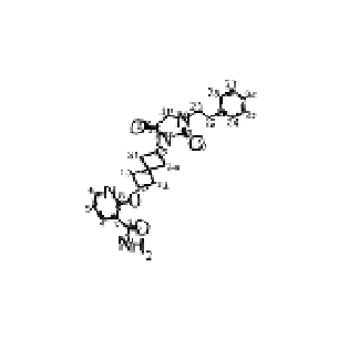 NC(=O)c1cccnc1O[C@H]1CC2(C1)C[C@H](N1C(=O)CN(CCc3ccccc3)C1=O)C2